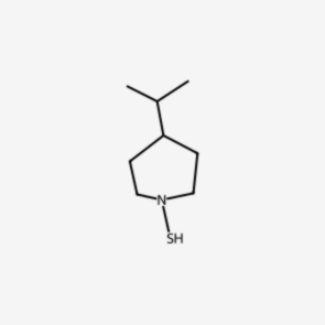 CC(C)C1CCN(S)CC1